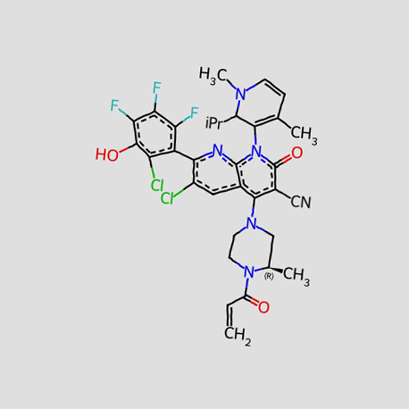 C=CC(=O)N1CCN(c2c(C#N)c(=O)n(C3=C(C)C=CN(C)C3C(C)C)c3nc(-c4c(F)c(F)c(F)c(O)c4Cl)c(Cl)cc23)C[C@H]1C